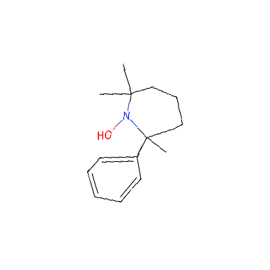 CC1(C)CCCC(C)(c2ccccc2)N1O